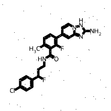 Cc1ccc(C2=CC3=NC(N)NN3C=C2)c(F)c1C(=O)NCCC(F)c1ccc(Cl)cc1